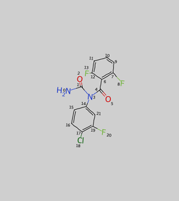 NC(=O)N(C(=O)c1c(F)cccc1F)c1ccc(Cl)c(F)c1